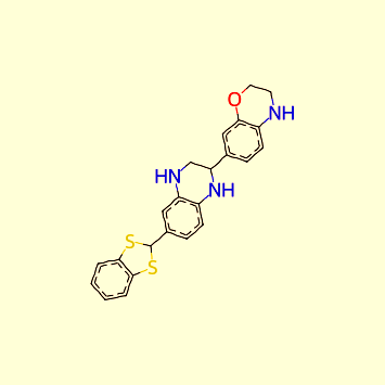 c1ccc2c(c1)SC(c1ccc3c(c1)NCC(c1ccc4c(c1)OCCN4)N3)S2